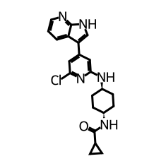 O=C(N[C@H]1CC[C@H](Nc2cc(-c3c[nH]c4ncccc34)cc(Cl)n2)CC1)C1CC1